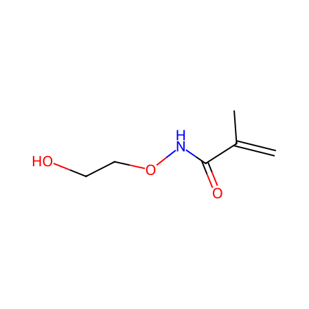 C=C(C)C(=O)NOCCO